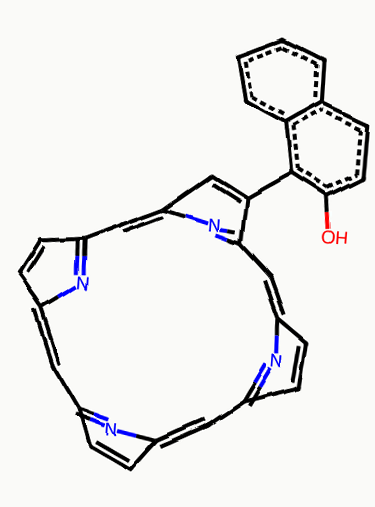 Oc1ccc2ccccc2c1C1=CC2=CC3=NC(=CC4=NC(=CC5=NC(=CC1=N2)C=C5)C=C4)C=C3